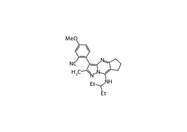 CCC(CC)Nc1c2c(nc3c(-c4ccc(OC)cc4C#N)c(C)nn13)CCC2